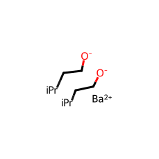 CC(C)CC[O-].CC(C)CC[O-].[Ba+2]